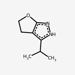 CC(C)c1[nH]nc2c1CCO2